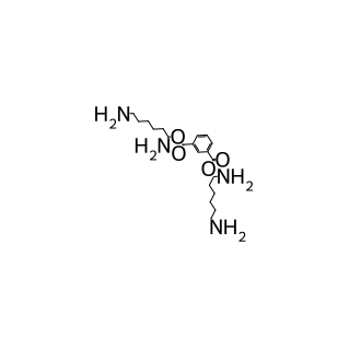 NCCCCCC(N)OC(=O)c1cccc(C(=O)OC(N)CCCCCN)c1